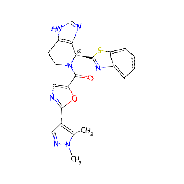 Cc1c(-c2ncc(C(=O)N3CCc4[nH]cnc4[C@H]3c3nc4ccccc4s3)o2)cnn1C